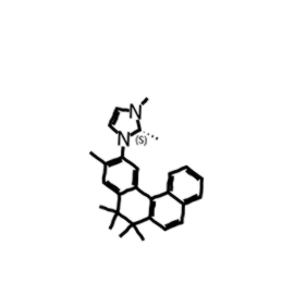 Cc1cc2c(cc1N1C=CN(C)[C@@H]1C)-c1c(ccc3ccccc13)C(C)(C)C2(C)C